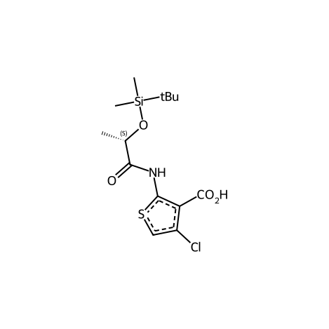 C[C@H](O[Si](C)(C)C(C)(C)C)C(=O)Nc1scc(Cl)c1C(=O)O